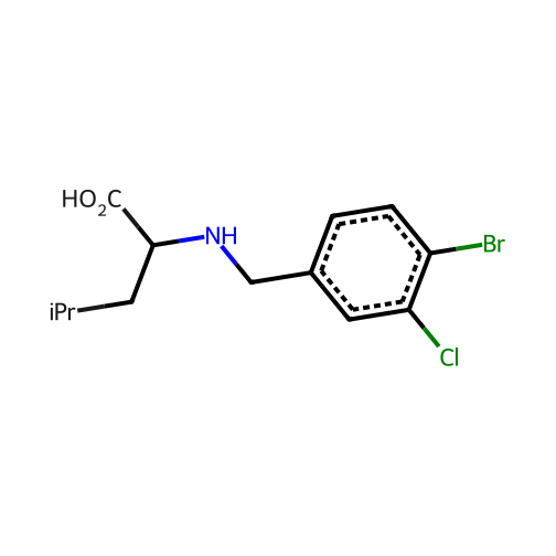 CC(C)CC(NCc1ccc(Br)c(Cl)c1)C(=O)O